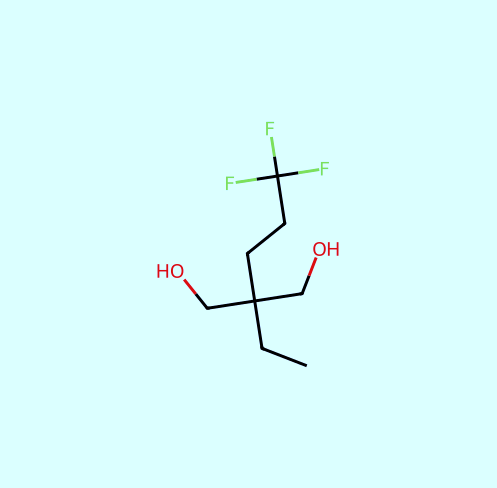 CCC(CO)(CO)CCC(F)(F)F